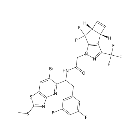 CSc1nc2nc(C(Cc3cc(F)cc(F)c3)NC(=O)Cn3nc(C(F)(F)F)c4c3C(F)(F)[C@@H]3C=C[C@H]43)c(Br)cc2s1